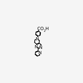 O=C(O)c1ccc(N2CCc3nc(-c4ccccn4)ncc3C2)cc1